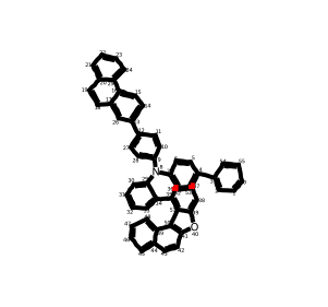 c1ccc(-c2ccc(N(c3ccc(-c4ccc5c(ccc6ccccc65)c4)cc3)c3ccccc3-c3cccc4oc5ccc6ccccc6c5c34)cc2)cc1